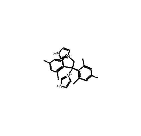 Cc1cc(C)c(C(C[n+]2cc[nH]c2)(c2c(C)cc(C)cc2C)[n+]2cc[nH]c2)c(C)c1